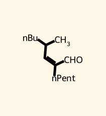 CCCCCC(C=O)=CC(C)CCCC